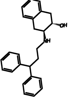 O[C@H]1Cc2ccccc2C[C@@H]1NCCC(c1ccccc1)c1ccccc1